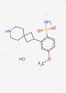 Cl.NS(=O)(=O)c1ccc(OC(F)(F)F)cc1C1CC2(CCNCC2)C1